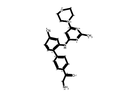 Cc1nc(Nc2cc(C#N)ccc2-c2ccc(C(=O)CN)cc2)cc(N2CCOCC2)n1